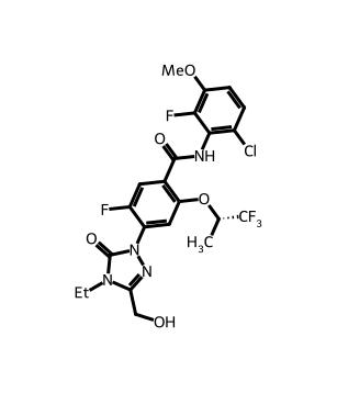 CCn1c(CO)nn(-c2cc(O[C@@H](C)C(F)(F)F)c(C(=O)Nc3c(Cl)ccc(OC)c3F)cc2F)c1=O